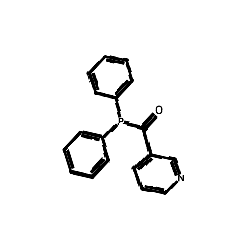 O=C(c1cccnc1)P(c1ccccc1)c1ccccc1